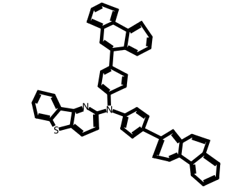 c1ccc2c(c1)ccc1cc(-c3ccc(N(c4ccc(-c5cc6ccccc6c6ccccc56)cc4)c4ccc5sc6ccccc6c5n4)cc3)ccc12